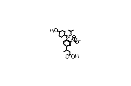 CC(C)CN(c1ccc(C(C)CC(=O)O)cc1[N+](=O)[O-])C1CCC(O)CC1